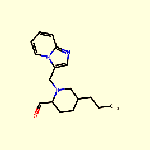 CCCC1CCC(C=O)N(Cc2cnc3ccccn23)C1